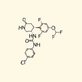 O=C1C[C@@H](c2c(F)cc(OC(F)F)cc2F)[C@H](NC(=O)Nc2ccc(Cl)cc2)CN1